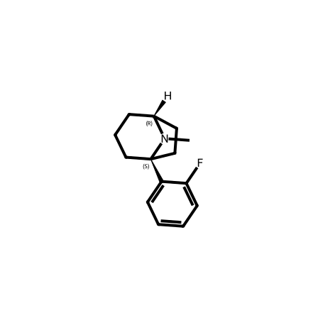 CN1[C@@H]2CCC[C@@]1(c1ccccc1F)CC2